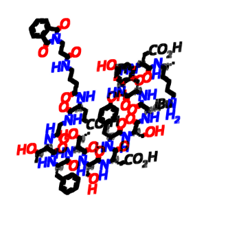 CC[C@H](C)[C@H](NC(=O)[C@H](CO)NC(=O)[C@H](Cc1ccc(O)cc1)NC(=O)[C@H](CC(=O)O)NC(=O)[C@H](CO)NC(=O)[C@@H](NC(=O)[C@H](Cc1ccccc1)NC(=O)[C@@H](NC(=O)CNC(=O)[C@H](CCC(=O)O)NC(=O)CCCNC(=O)CCN1C(=O)c2ccccc2C1=O)[C@@H](C)O)[C@@H](C)O)C(=O)N[C@@H](Cc1ccc(O)cc1)C(=O)N[C@@H](CC(C)C)C(=O)N[C@@H](CC(=O)O)C(=O)N[C@H](C)CCCCN